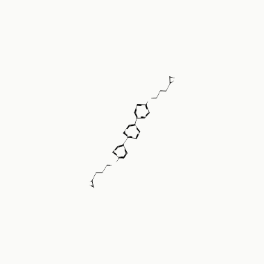 c1cc(-c2ccc(-c3ccc(OCCCC4CO4)cc3)cc2)ccc1OCCCC1CO1